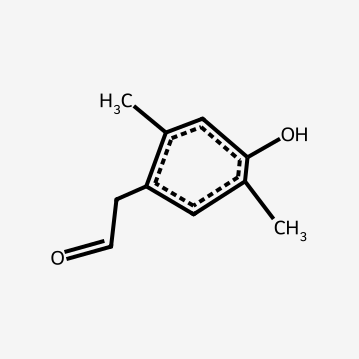 Cc1cc(CC=O)c(C)cc1O